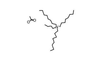 CC(=O)[O-].CCCCCCCC[N+](CCCC)(CCCCCCCC)CCCCCCCC